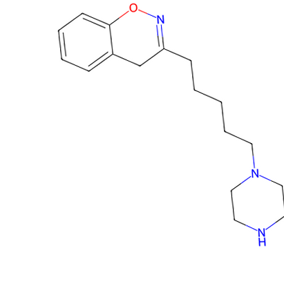 c1ccc2c(c1)CC(CCCCCN1CCNCC1)=NO2